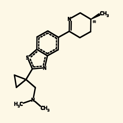 C[C@H]1CCC(c2ccc3sc(C4(CN(C)C)CC4)nc3c2)=NC1